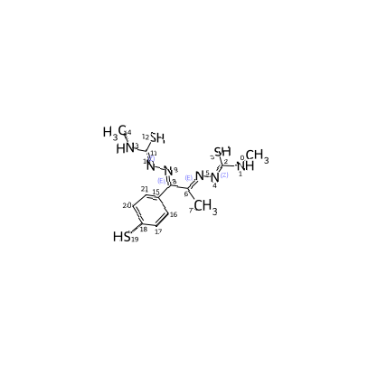 CN/C(S)=N/N=C(C)/C(=N/N=C(\S)NC)c1ccc(S)cc1